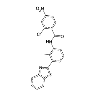 Cc1c(NC(=O)c2ccc([N+](=O)[O-])cc2Cl)cccc1-c1nc2ccccc2s1